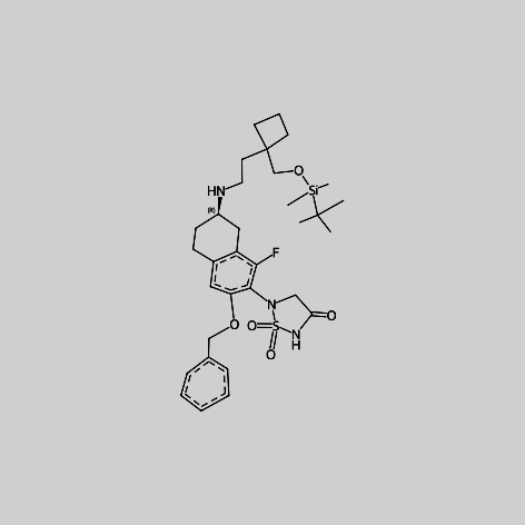 CC(C)(C)[Si](C)(C)OCC1(CCN[C@@H]2CCc3cc(OCc4ccccc4)c(N4CC(=O)NS4(=O)=O)c(F)c3C2)CCC1